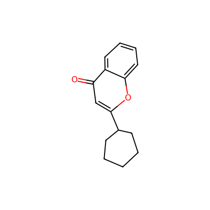 O=c1cc(C2CCCCC2)oc2ccccc12